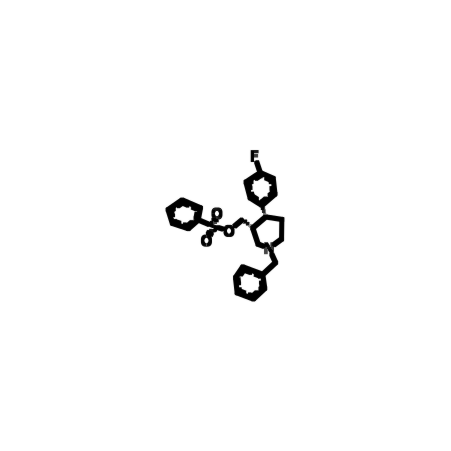 O=S(=O)(OC[C@H]1CN(Cc2ccccc2)CC[C@H]1c1ccc(F)cc1)c1ccccc1